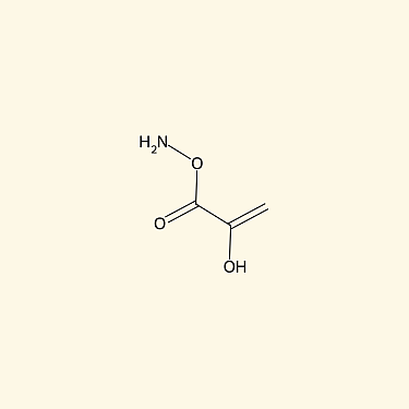 C=C(O)C(=O)ON